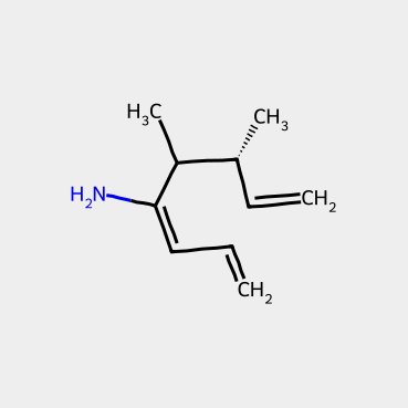 C=C/C=C(/N)C(C)[C@H](C)C=C